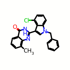 Cc1cccc2c(=O)[nH]c(-c3cn(Cc4ccccc4)c4cccc(Cl)c34)nc12